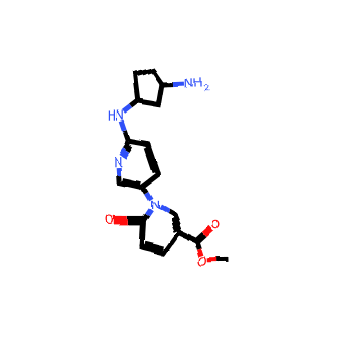 COC(=O)c1ccc(=O)n(-c2ccc(NC3CCC(N)C3)nc2)c1